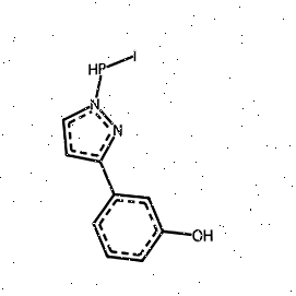 Oc1cccc(-c2ccn(PI)n2)c1